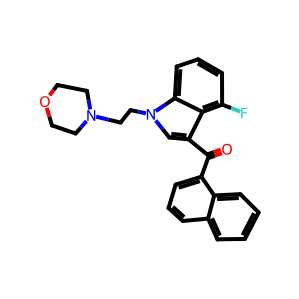 O=C(c1cccc2ccccc12)c1cn(CCN2CCOCC2)c2cccc(F)c12